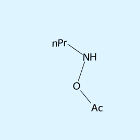 [CH2]CCNOC(C)=O